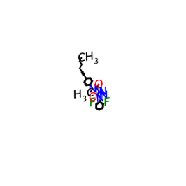 CCCCC#Cc1ccc(N(C)C(=O)n2nnn(-c3c(F)cccc3F)c2=O)cc1